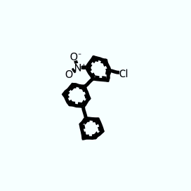 O=[N+]([O-])c1ccc(Cl)cc1-c1cccc(-c2ccccc2)c1